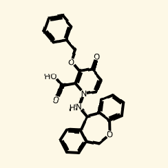 O=C(O)c1c(OCc2ccccc2)c(=O)ccn1NC1c2ccccc2COc2ccccc21